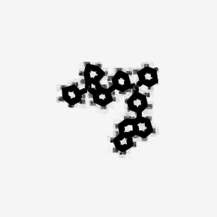 c1ccc(N(c2ccc(-c3cccc4c3ccc3ccccc34)cc2)c2cccc(-c3cccc4c3c3ccccc3n4-c3ccccc3)c2)cc1